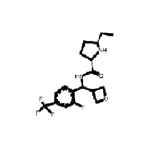 CC[C@@H]1CC[C@H](C(=O)NC(c2ccc(C(F)(F)F)cc2F)C2COC2)N1